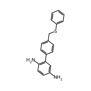 Nc1ccc(N)c(-c2ccc(CSc3ccccc3)cc2)c1